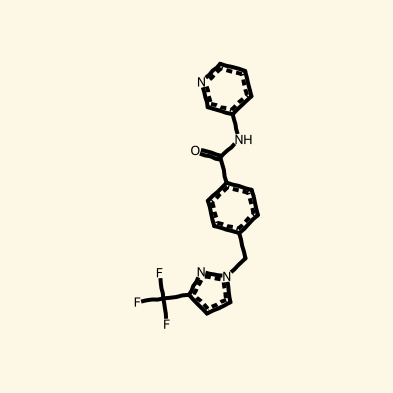 O=C(Nc1cccnc1)c1ccc(Cn2ccc(C(F)(F)F)n2)cc1